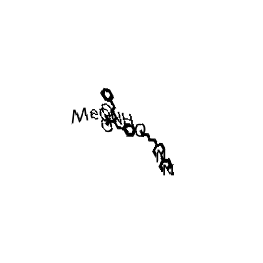 COC(=O)C(Cc1ccc(OCCCCC2CCN(c3ccncc3)CC2)cc1)NC(=O)Cc1ccccc1